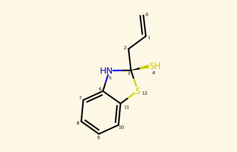 C=CC[C@@]1(S)Nc2ccccc2S1